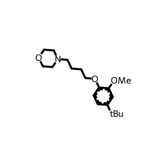 COc1cc(C(C)(C)C)ccc1OCCCCN1CCOCC1